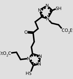 CCOC(=O)CCn1c(S)nnc1CCC(=O)CCc1nnc(S)n1CCC(=O)OCC